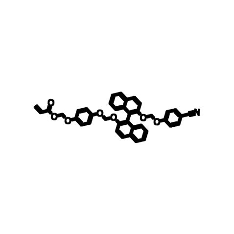 C=CC(=O)OCOc1ccc(OCOc2ccc3ccccc3c2-c2c(OCOc3ccc(C#N)cc3)ccc3ccccc23)cc1